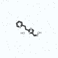 Cl.O/N=C\c1cnc(CCc2ccccn2)s1